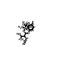 CC(O)C(N=[N+]=[N-])C(Oc1ccc(F)cc1)O[Si](C)(C)C(C)(C)C